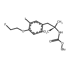 CC(C)(C)OC(=O)N[C@@](C)(Cc1ccc(OCCF)c(I)c1)C(=O)O